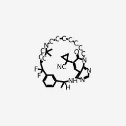 C[C@H]1Nc2ncnc3c2cc(C2(C#N)CC2)c(=O)n3CCCCCCCN2CCC(CC2(C)C)C(F)(F)c2cccc1c2